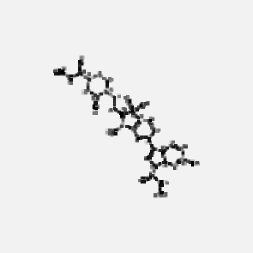 CC1c2cc(-c3cn(C(=O)OC(C)(C)C)c4cc(F)ccc34)ccc2S(=O)(=O)N1CCN1CCN(C(=O)OC(C)(C)C)CC1=O